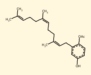 CC(=O)Oc1ccc(O)cc1CC=C(C)CCC=C(C)CCC=C(C)C